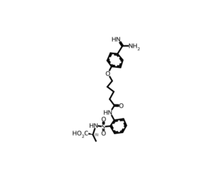 C[C@H](NS(=O)(=O)c1ccccc1NC(=O)CCCCOc1ccc(C(=N)N)cc1)C(=O)O